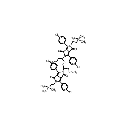 CCCC(SSC(CCC)N1C(=O)C2=C(c3ccc(Cl)cc3)N(CC[N+](C)(C)C)C(=O)C2=C1c1ccc(Cl)cc1)N1C(=O)C2=C(c3ccc(Cl)cc3)N(CC[N+](C)(C)C)C(=O)C2=C1c1ccc(Cl)cc1